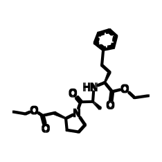 CCOC(=O)C[C@@H]1CCCN1C(=O)[C@H](C)N[C@@H](CCc1ccccc1)C(=O)OCC